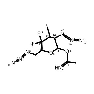 CC(=N)OC1OC(CN=[N+]=[N-])C(F)(F)C(C)C1N=[N+]=[N-]